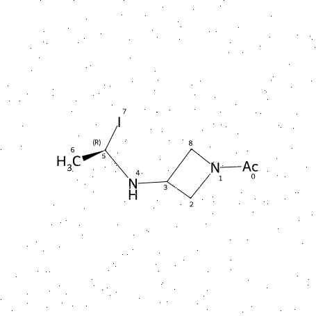 CC(=O)N1CC(N[C@@H](C)I)C1